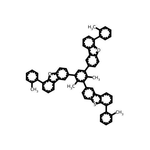 Cc1ccccc1-c1cccc2c1oc1ccc(-c3cc(-c4ccc5oc6c(-c7ccccc7C)cccc6c5c4)c(C)c(-c4ccc5sc6c(-c7ccccc7C)cccc6c5c4)c3C)cc12